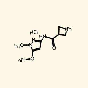 CCCOc1cc(NC(=O)C2CNC2)nn1C.Cl